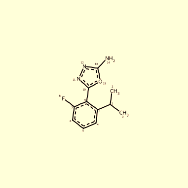 CC(C)c1cccc(F)c1-c1nnc(N)o1